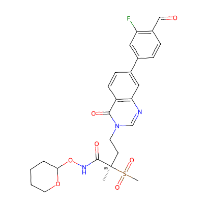 C[C@@](CCn1cnc2cc(-c3ccc(C=O)c(F)c3)ccc2c1=O)(C(=O)NOC1CCCCO1)S(C)(=O)=O